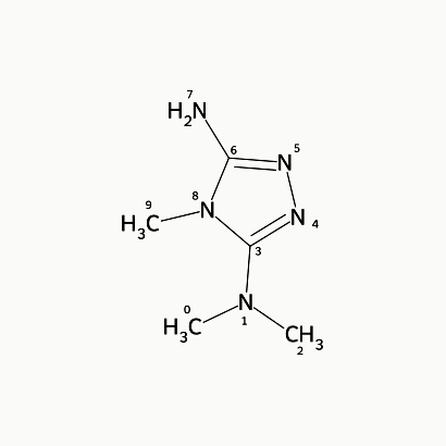 CN(C)c1nnc(N)n1C